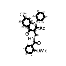 COc1ccccc1C(=O)NCc1c(C(C)=O)n(-c2ccccc2)c2cc(Cl)ccc2c1=O